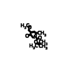 COCC1=C[C@@H](C)N(C(=O)OC(C)(C)C)CC1=O